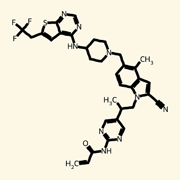 C=CC(=O)Nc1ncc(C(C)Cn2c(C#N)cc3c(C)c(CN4CCC(Nc5ncnc6sc(CC(F)(F)F)cc56)CC4)ccc32)cn1